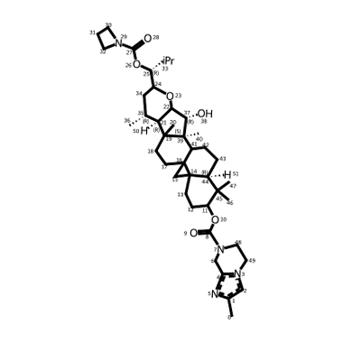 Cc1cn2c(n1)CN(C(=O)OC1CCC34CC35CCC3(C)[C@@H]6C(OC([C@H](OC(=O)N7CCC7)C(C)C)C[C@H]6C)[C@H](O)[C@@]3(C)C5CC[C@H]4C1(C)C)CC2